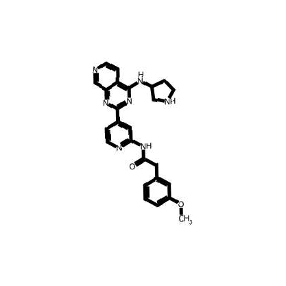 COc1cccc(CC(=O)Nc2cc(-c3nc(NC4CCNC4)c4ccncc4n3)ccn2)c1